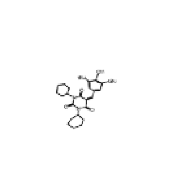 CC(C)(C)c1cc(C=C2C(=O)N(C3CCCCC3)C(=O)N(C3CCCCC3)C2=O)cc(C(C)(C)C)c1O